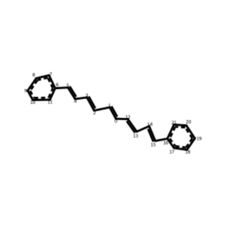 C(=CC=CC=Cc1ccccc1)C=CC=Cc1ccccc1